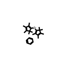 CC1=C(C)C(C)(C)[C]([Zr][C]2=C(C)C(C)=C(C)C2(C)C)=C1C.c1ccccc#1